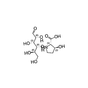 O=C(O)[C@H]1NCC[C@@H]1O.O=C[C@H](O)[C@@H](O)[C@H](O)[C@H](O)CO